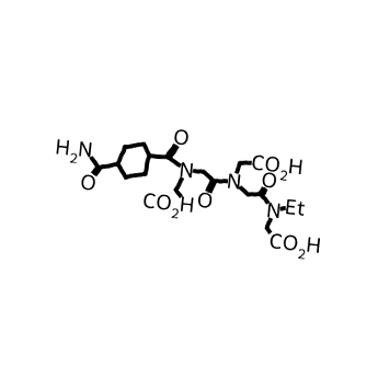 CCN(CC(=O)O)C(=O)CN(CC(=O)O)C(=O)CN(CC(=O)O)C(=O)C1CCC(C(N)=O)CC1